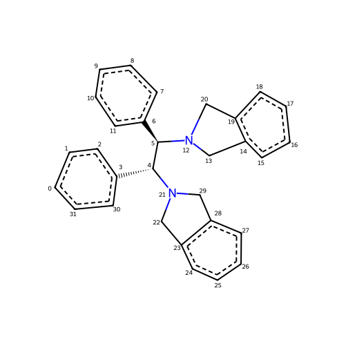 c1ccc([C@H]([C@@H](c2ccccc2)N2Cc3ccccc3C2)N2Cc3ccccc3C2)cc1